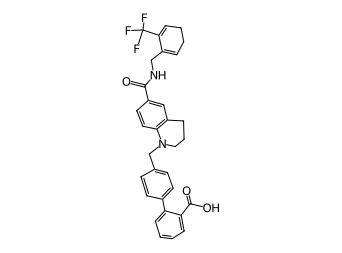 O=C(NCC1=CCCC=C1C(F)(F)F)c1ccc2c(c1)CCCN2Cc1ccc(-c2ccccc2C(=O)O)cc1